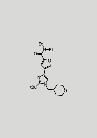 CCN(CC)C(=O)c1cc(-c2cn(CC3CCOCC3)c(C(C)(C)C)n2)co1